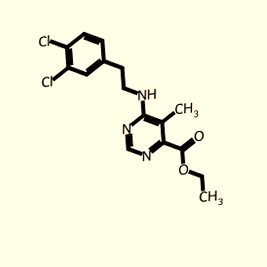 CCOC(=O)c1ncnc(NCCc2ccc(Cl)c(Cl)c2)c1C